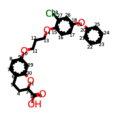 O=C(O)C1CCc2ccc(OCCCOc3ccc(Oc4ccccc4)cc3Cl)cc2O1